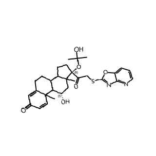 CC(C)(O)O[C@]1(C(=O)CSc2nc3ncccc3o2)CCC2C3CCC4=CC(=O)C=CC4(C)C3[C@@H](O)CC21C